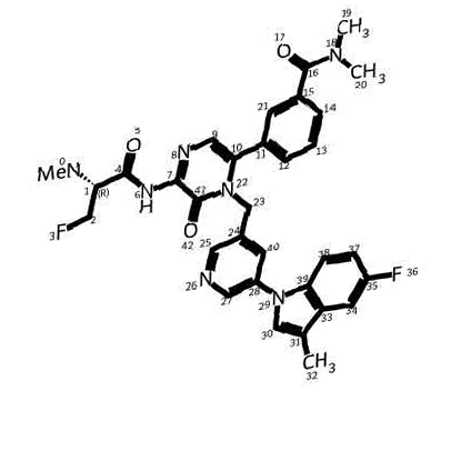 CN[C@@H](CF)C(=O)Nc1ncc(-c2cccc(C(=O)N(C)C)c2)n(Cc2cncc(-n3cc(C)c4cc(F)ccc43)c2)c1=O